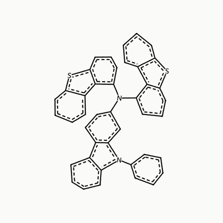 c1ccc(-n2c3ccccc3c3ccc(N(c4cccc5sc6ccccc6c45)c4cccc5sc6ccccc6c45)cc32)cc1